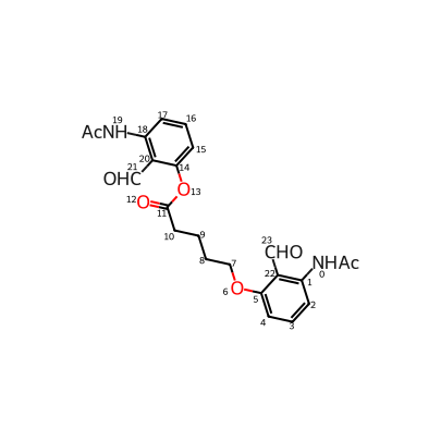 CC(=O)Nc1cccc(OCCCCC(=O)Oc2cccc(NC(C)=O)c2C=O)c1C=O